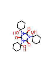 O=c1n(C2(O)CCCCC2)c(=O)n(C2(O)CCCCC2)c(=O)n1C1(O)CCCCC1